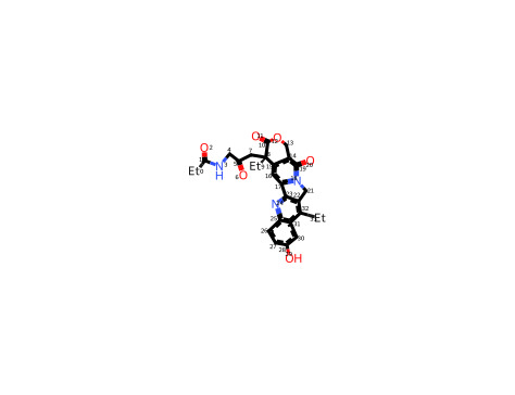 CCC(=O)NCC(=O)C[C@]1(CC)C(=O)OCc2c1cc1n(c2=O)Cc2c-1nc1ccc(O)cc1c2CC